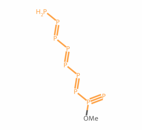 COP(#P)P=PP=PP=PP